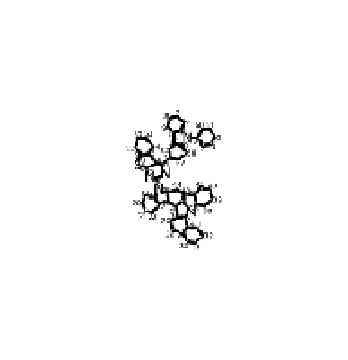 c1ccc(-n2c3ccccc3c3cc(-c4nc(-n5c6ccccc6c6c7c8ccc9ccccc9c8n8c9ccccc9c(cc65)c78)nc5sc6ccccc6c45)ccc32)cc1